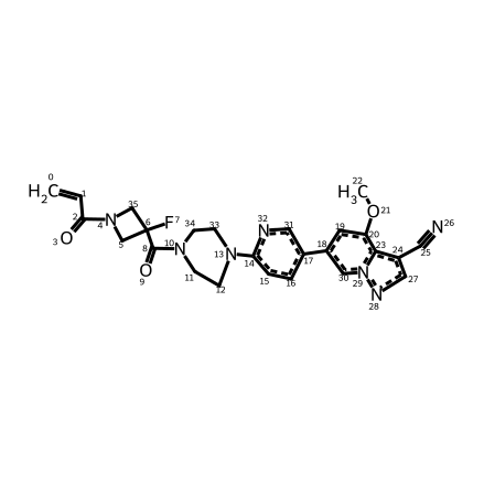 C=CC(=O)N1CC(F)(C(=O)N2CCN(c3ccc(-c4cc(OC)c5c(C#N)cnn5c4)cn3)CC2)C1